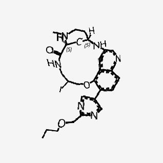 CCCOCc1ncc(-c2ccc3ncc4cc3c2OCC(I)CNC(=O)[C@@H]2C[C@H](CCN2C)N4)cn1